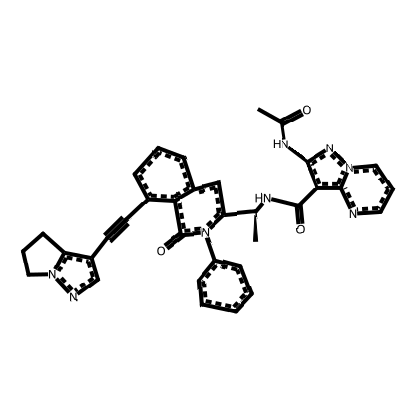 CC(=O)Nc1nn2cccnc2c1C(=O)N[C@@H](C)c1cc2cccc(C#Cc3cnn4c3CCC4)c2c(=O)n1-c1ccccc1